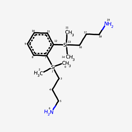 C[Si](C)(CCCN)c1ccccc1[Si](C)(C)CCCN